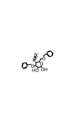 [N-]=[N+]=N[C@H]1C(COCc2ccccc2)O[C@@H](O)C(O)C1OCc1ccccc1